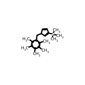 Cc1c(C)c(C)c(C[C]2C=CC([Si](C)(C)C)=C2)c(C)c1C